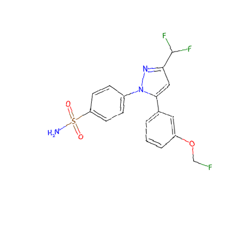 NS(=O)(=O)c1ccc(-n2nc(C(F)F)cc2-c2cccc(OCF)c2)cc1